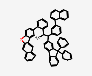 CC(c1ccccc1-c1ccc2oc3cc4ccccc4cc3c2c1)C(c1cccc(-c2cccc3ccccc23)c1)c1ccc2c(c1)C(C1=CC=CCC1)(c1ccccc1)c1ccccc1-2